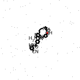 N#Cc1ccnc(NC(=O)c2ccc(-c3nn4c5c(cnc(N)c35)/C=C/CCN3CC[C@H]3C(=O)N[C@@H]3CC[C@@H]4C3)cc2)c1